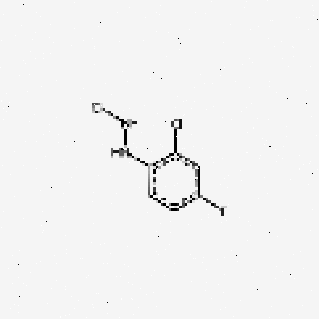 Fc1ccc(NNCl)c(Cl)c1